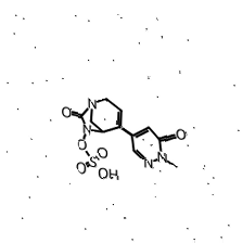 Cn1ncc(C2=CCN3CC2N(OS(=O)(=O)O)C3=O)cc1=O